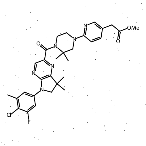 COC(=O)Cc1ccc(N2CCN(C(=O)c3cnc4c(n3)C(C)(C)CN4c3cc(C)c(Cl)c(F)c3)C(C)(C)C2)nc1